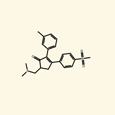 Cc1cccc(C2=C(c3ccc(S(C)(=O)=O)cc3)CC(CN(C)C)C2=O)c1